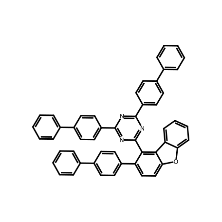 c1ccc(-c2ccc(-c3nc(-c4ccc(-c5ccccc5)cc4)nc(-c4c(-c5ccc(-c6ccccc6)cc5)ccc5oc6ccccc6c45)n3)cc2)cc1